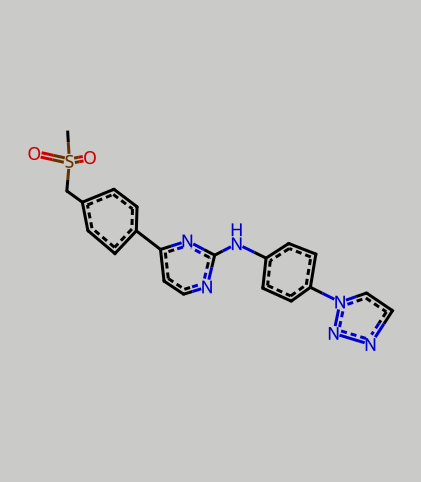 CS(=O)(=O)Cc1ccc(-c2ccnc(Nc3ccc(-n4ccnn4)cc3)n2)cc1